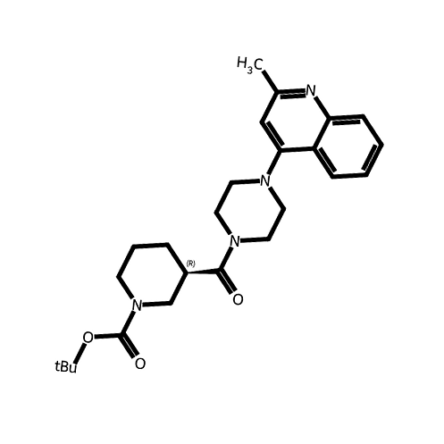 Cc1cc(N2CCN(C(=O)[C@@H]3CCCN(C(=O)OC(C)(C)C)C3)CC2)c2ccccc2n1